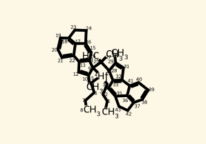 CCC[CH2][Hf]1([CH2]CCC)[C]2(C(C)=Cc3c2cc2c4c(cccc34)CC2)C(C)(C)[C]12C(C)=Cc1c2cc2c3c(cccc13)CC2